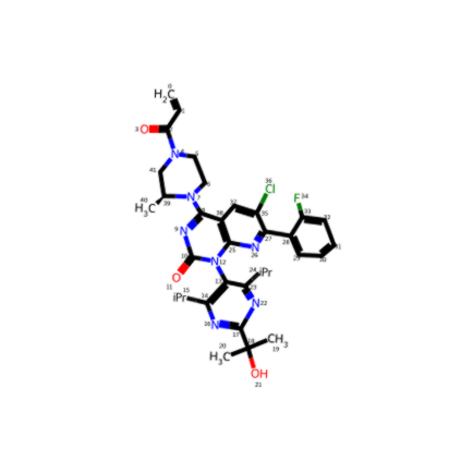 C=CC(=O)N1CCN(c2nc(=O)n(-c3c(C(C)C)nc(C(C)(C)O)nc3C(C)C)c3nc(-c4ccccc4F)c(Cl)cc23)[C@@H](C)C1